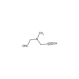 C#CCN(C)C[C]=O